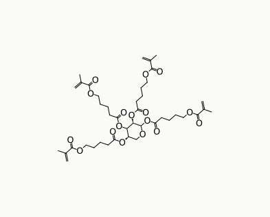 C=C(C)C(=O)OCCCCC(=O)OC1OC[C@@H](OC(=O)CCCCOC(=O)C(=C)C)C(OC(=O)CCCCOC(=O)C(=C)C)[C@H]1OC(=O)CCCCOC(=O)C(=C)C